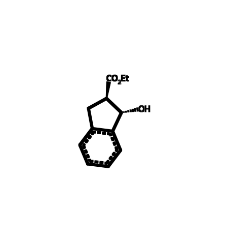 CCOC(=O)[C@@H]1Cc2ccccc2[C@H]1O